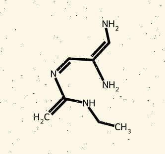 C=C(/N=C\C(N)=C/N)NCC